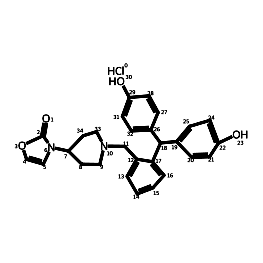 Cl.O=c1occn1C1CCN(Cc2ccccc2C(c2ccc(O)cc2)c2ccc(O)cc2)CC1